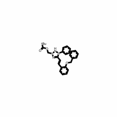 CC(C)(C)C(=O)OCN1N=C(C=Cc2ccccc2OCc2ccccc2)N(c2ccccc2)N1